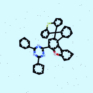 c1ccc(-c2nc(-c3ccccc3)nc(-c3cc4c(c5c3oc3ccccc35)-c3ccccc3C43c4ccccc4Sc4ccccc43)n2)cc1